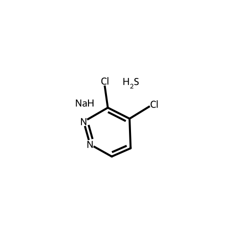 Clc1ccnnc1Cl.S.[NaH]